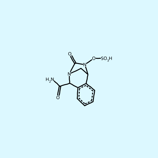 NC(=O)C1c2ccccc2C2CN1C(=O)N2OS(=O)(=O)O